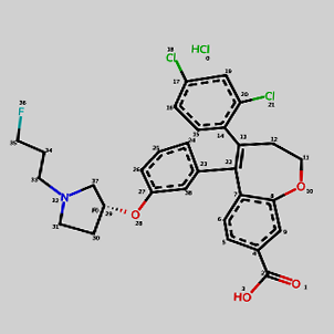 Cl.O=C(O)c1ccc2c(c1)OCCC(c1ccc(Cl)cc1Cl)=C2c1cccc(O[C@@H]2CCN(CCCF)C2)c1